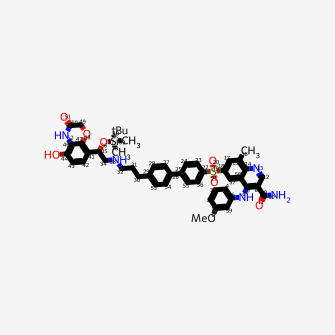 COc1cccc(Nc2c(C(N)=O)cnc3c(C)cc(S(=O)(=O)c4ccc(-c5ccc(CCCNCC(O[Si](C)(C)C(C)(C)C)c6ccc(O)c7c6OCC(=O)N7)cc5)cc4)cc23)c1